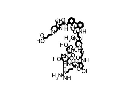 CNC(=O)[C@H](CC(=O)O)NC(=O)[C@H](CC(=O)O)NC(=O)[C@H](CCCNC(=N)N)NC(=O)[C@H](CC(=O)O)NC(=O)CCCN1CCc2c(nc(C(=O)Nc3cccc(-c4cccc(NC(=O)c5nc6c(n5C)CCN(CCCC(=O)O)C6)c4Cl)c3Cl)n2C)C1